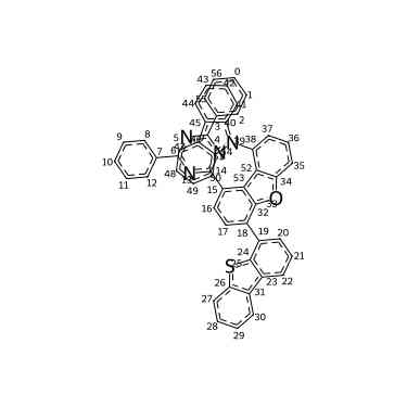 c1ccc(-c2nc(-c3ccccc3)nc(-c3ccc(-c4cccc5c4sc4ccccc45)c4oc5cccc(-n6c7ccccc7c7ccccc76)c5c34)n2)cc1